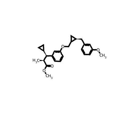 COC(=O)[C@@H](C)[C@H](c1cccc(OCC2C[C@H]2Cc2cccc(OC)c2)c1)C1CC1